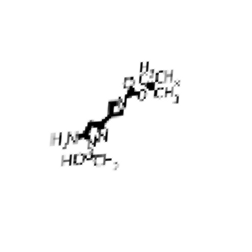 CB(O)n1nc(C2CN(C(=O)OC(C)(C)C)C2)cc1N